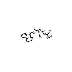 O=C(O)N1CC(CN(C(=O)OCC2c3ccccc3-c3ccccc32)C2CC2)C1